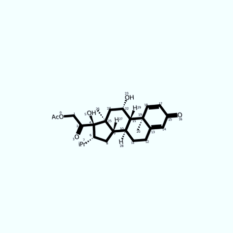 CC(=O)OCC(=O)[C@@]1(O)[C@@H](C(C)C)C[C@H]2[C@@H]3CCC4=CC(=O)C=C[C@]4(C)[C@H]3[C@@H](O)C[C@@]21C